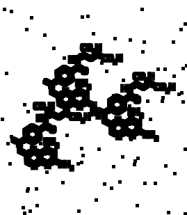 CN(Cc1cnc2nc(N)nc(N)c2n1)c1ccc(C(=O)N[C@@H](CCC(=O)O)C(=O)O)cc1.CN(Cc1cnc2nc(N)nc(N)c2n1)c1ccc(C(=O)N[C@@H](CCC(=O)O)C(=O)O)cc1.CN(Cc1cnc2nc(N)nc(N)c2n1)c1ccc(C(=O)N[C@@H](CCC(=O)O)C(=O)O)cc1